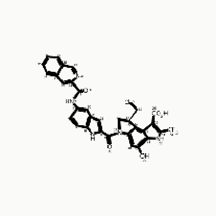 O=C(Nc1ccc2[nH]c(C(=O)N3C[C@@H](CCl)c4c3cc(O)c3[nH]c(C(F)(F)F)c(C(=O)O)c43)cc2c1)c1cc2ccccc2cn1